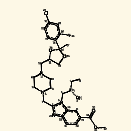 CC[C@H](O)Cn1c(CN2CCN(CC3COC(C)(c4ccc(Cl)cc4F)O3)CC2)nc2ccc(C(=O)OC)cc21